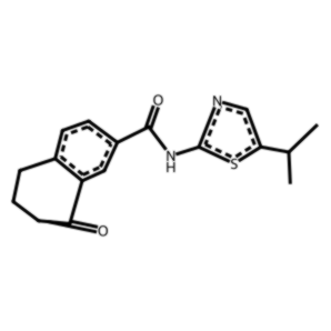 CC(C)c1cnc(NC(=O)c2ccc3c(c2)C(=O)CCC3)s1